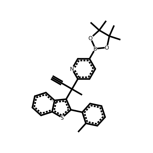 C#CC(C)(c1ccc(B2OC(C)(C)C(C)(C)O2)cn1)c1c(-c2ccccc2C)sc2ccccc12